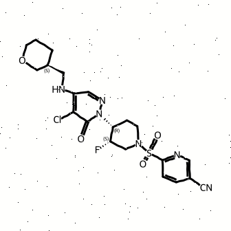 N#Cc1ccc(S(=O)(=O)N2CC[C@@H](n3ncc(NC[C@@H]4CCCOC4)c(Cl)c3=O)[C@@H](F)C2)nc1